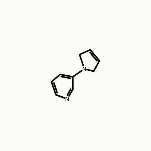 C1=CCN(c2cccnc2)C1